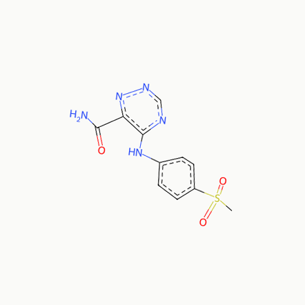 CS(=O)(=O)c1ccc(Nc2ncnnc2C(N)=O)cc1